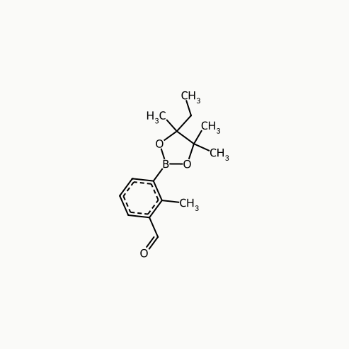 CCC1(C)OB(c2cccc(C=O)c2C)OC1(C)C